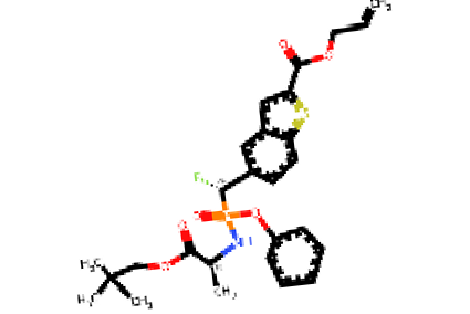 C=CCOC(=O)c1cc2cc([C@@H](F)P(=O)(N[C@@H](C)C(=O)OCC(C)(C)C)Oc3ccccc3)ccc2s1